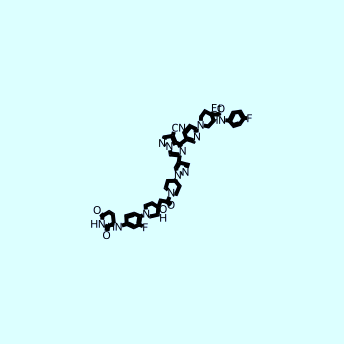 CCC1(C(=O)Nc2ccc(F)cc2)CCN(c2ccc(-c3nc(-c4cnn(C5CCN(C(=O)CC6(O)CCN(c7ccc(NC8CCC(=O)NC8=O)cc7F)CC6)CC5)c4)cn4ncc(C#N)c34)cn2)CC1